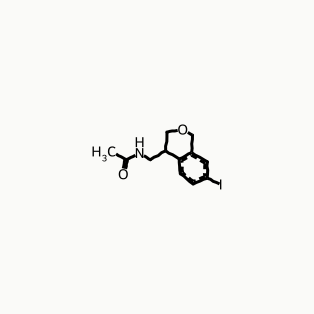 CC(=O)NCC1COCc2cc(I)ccc21